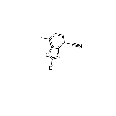 Cc1ccc(C#N)c2cc(Cl)oc12